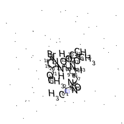 C/C=C/c1noc(C[C@H]2C[C@@H](C(=O)Nc3nc(Br)ccc3COC)N(C(=O)OC(C)(C)C)[C@@H]2I)n1